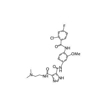 COc1cc(NC(=O)c2[nH]cnc2C(=O)NCCN(C)C)ccc1NC(=O)c1ccc(F)cc1Cl